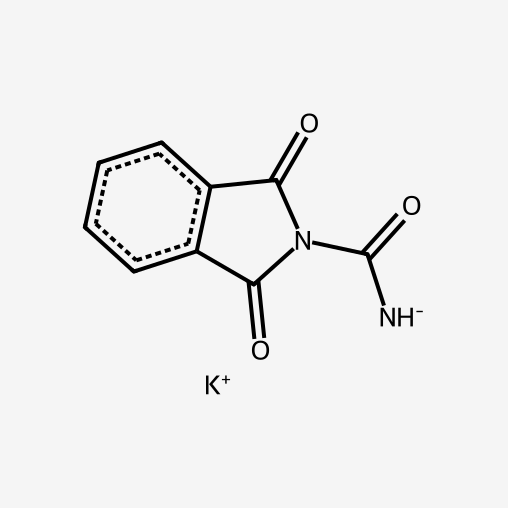 [K+].[NH-]C(=O)N1C(=O)c2ccccc2C1=O